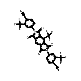 N#Cc1ccc(-n2c(=O)c3cc4c(=O)n(-c5ccc(C#N)c(C(F)(F)F)c5)c(=O)c4c(C(F)(F)F)c3c2=O)cc1C(F)(F)F